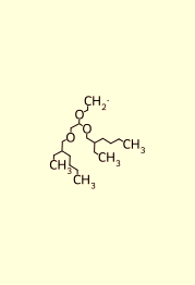 [CH2]COC(COCC(CC)CCCC)OCC(CC)CCCC